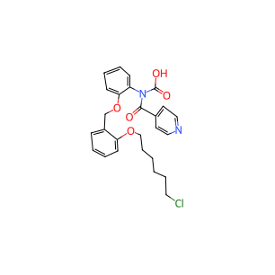 O=C(O)N(C(=O)c1ccncc1)c1ccccc1OCc1ccccc1OCCCCCCCl